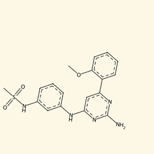 COc1ccccc1-c1cc(Nc2cccc(NS(C)(=O)=O)c2)nc(N)n1